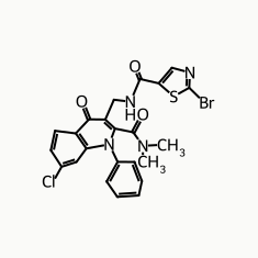 CN(C)C(=O)c1c(CNC(=O)c2cnc(Br)s2)c(=O)c2ccc(Cl)cc2n1-c1ccccc1